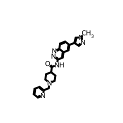 Cn1cc(-c2ccc3nnc(NC(=O)C4CCN(Cc5ccccn5)CC4)cc3c2)cn1